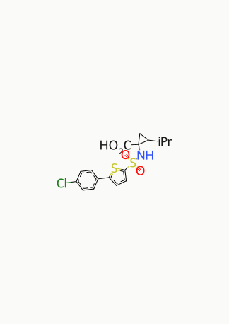 CC(C)C1CC1(NS(=O)(=O)c1ccc(-c2ccc(Cl)cc2)s1)C(=O)O